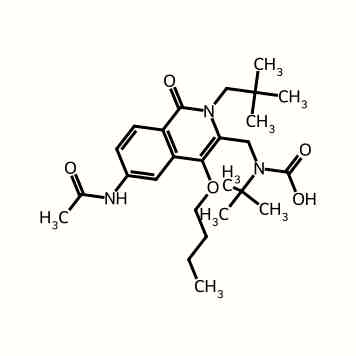 CCCCOc1c(CN(C(=O)O)C(C)(C)C)n(CC(C)(C)C)c(=O)c2ccc(NC(C)=O)cc12